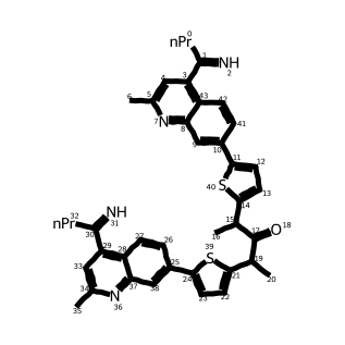 CCCC(=N)c1cc(C)nc2cc(-c3ccc(C(C)C(=O)C(C)c4ccc(-c5ccc6c(C(=N)CCC)cc(C)nc6c5)s4)s3)ccc12